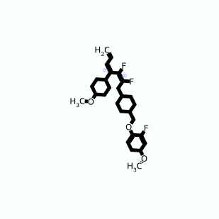 C=C/C=C(\C(F)=C(\F)CC1CCC(COC2=CCC(OC)C=C2F)CC1)C1CCC(OC)CC1